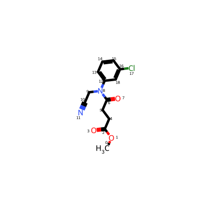 COC(=O)CCC(=O)N(CC#N)c1cccc(Cl)c1